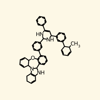 CC1C=CC=CC1c1cccc(C2C=C(c3ccccc3)NC(c3cccc(-c4cccc5c4OC4C=CC=CC4N4C6=C(C=CCC6)NC54)c3)N2)c1